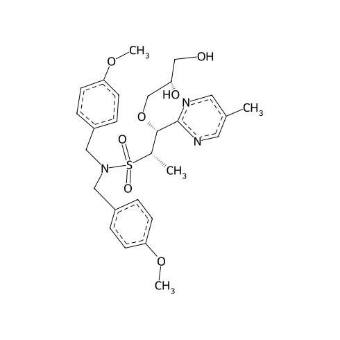 COc1ccc(CN(Cc2ccc(OC)cc2)S(=O)(=O)[C@@H](C)[C@H](OC[C@@H](O)CO)c2ncc(C)cn2)cc1